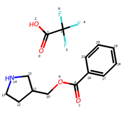 O=C(O)C(F)(F)F.O=C(OCC1CCNC1)c1ccccc1